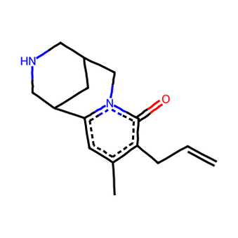 C=CCc1c(C)cc2n(c1=O)CC1CNCC2C1